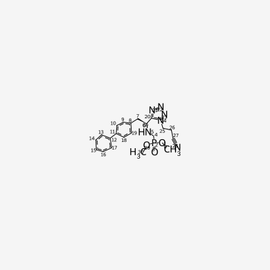 COP(=O)(CN[C@@H](Cc1ccc(-c2ccccc2)cc1)c1nnnn1CCC#N)OC